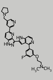 CN(C)CCOc1cc(F)cc(-c2nccc3[nH]c(-c4n[nH]c5ccc(-c6cncc(CN7CCCC7)c6)nc45)cc23)c1